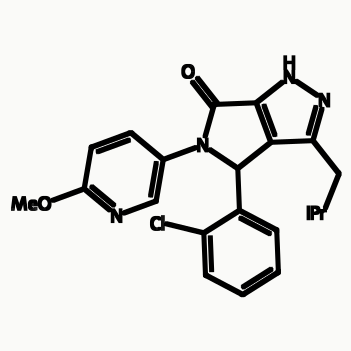 COc1ccc(N2C(=O)c3[nH]nc(CC(C)C)c3C2c2ccccc2Cl)cn1